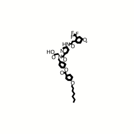 CCCCCCCOc1ccc(C(=O)Oc2ccc(CN(CC(=O)O)C(=O)c3ccc(NC(=O)Cc4ccc(OC)cc4C(F)(F)F)cn3)cc2)cc1